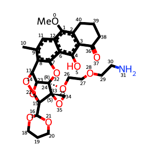 COc1c2c(c(O)c3c4c(c(C)cc13)C1OC3(C5OCCCO5)OC1[C@@](OCCOCCN)(O4)[C@@]31CO1)C(=O)CCC2